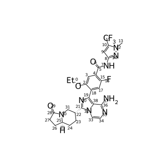 CCOc1cc(C(=O)Nc2cc(C(F)(F)F)n(C)n2)c(F)cc1-c1nc([C@@H]2CC[C@H]3CCC(=O)N3C2)n2ccnc(N)c12